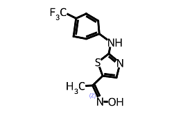 C/C(=N/O)c1cnc(Nc2ccc(C(F)(F)F)cc2)s1